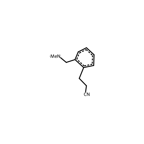 C[N]Cc1ccccc1CCC#N